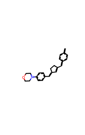 C=c1ccc(=CC2=C/C(=C/c3ccc(N4CCOCC4)cc3)CC2)cc1